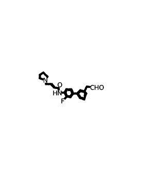 O=CCc1cccc(-c2ccc(NC(=O)/C=C/CN3CCCC3)c(F)c2)c1